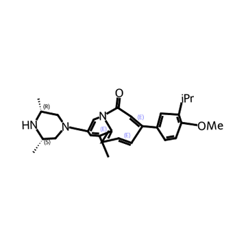 COc1ccc(C2=C\C(=O)N3C=C(N4C[C@@H](C)N[C@@H](C)C4)C=C(C)\C3=C/C=C/2)cc1C(C)C